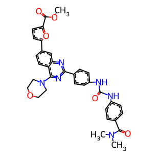 COC(=O)c1ccc(-c2ccc3c(N4CCOCC4)nc(-c4ccc(NC(=O)Nc5ccc(C(=O)N(C)C)cc5)cc4)nc3c2)o1